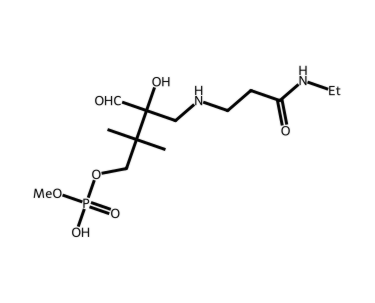 CCNC(=O)CCNCC(O)(C=O)C(C)(C)COP(=O)(O)OC